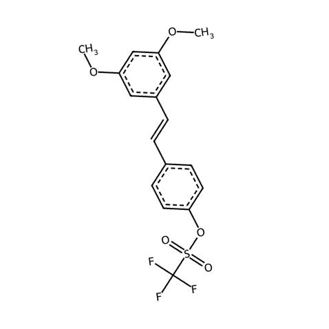 COc1cc(/C=C/c2ccc(OS(=O)(=O)C(F)(F)F)cc2)cc(OC)c1